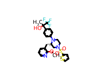 COc1ncccc1C[C@H]1CN(S(=O)(=O)c2cccs2)CCN1c1ccc(C(C)(O)C(F)(F)F)cc1